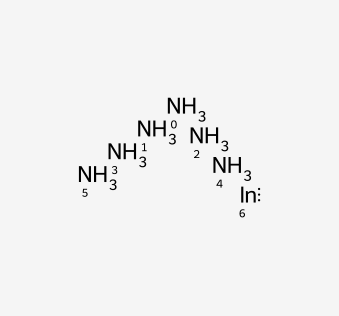 N.N.N.N.N.N.[In]